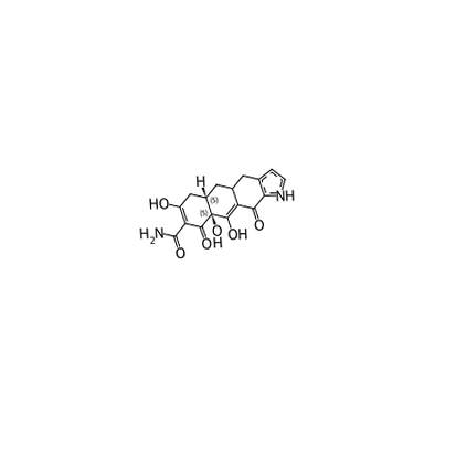 NC(=O)C1=C(O)C[C@@H]2CC3Cc4cc[nH]c4C(=O)C3=C(O)[C@]2(O)C1=O